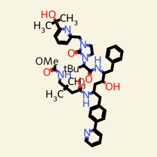 COC(=O)NCC(C)(C)CC(=O)NC(Cc1ccc(-c2ccccn2)cc1)CC(O)C(Cc1ccccc1)NC(=O)C(N1CCN(Cc2cccc(C(C)(C)O)n2)C1=O)C(C)(C)C